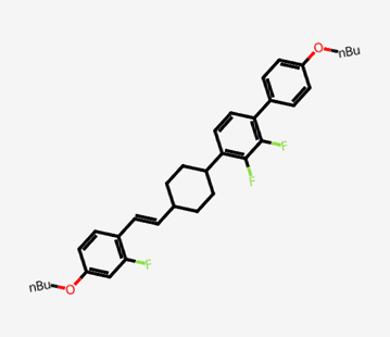 CCCCOc1ccc(-c2ccc(C3CCC(/C=C/c4ccc(OCCCC)cc4F)CC3)c(F)c2F)cc1